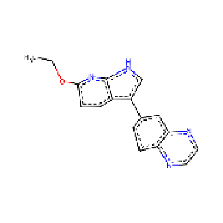 CCOc1ccc2c(-c3ccc4nccnc4c3)c[nH]c2n1